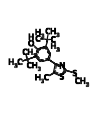 CSc1nc(-c2cc(C(C)(C)C)c(O)c(C(C)(C)C)c2)c(C)s1